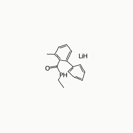 CCPC(=O)c1c(C)cccc1-c1ccccc1.[LiH]